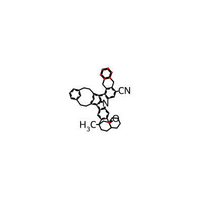 CC12CCC3(CCCCC3C1)C(=O)c1cc3c(cc12)c1c2cc(c4c5c6c(c(C#N)cc5n3c14)C1c3ccccc3C6c3ccccc31)CCc1cccc(c1)CC2